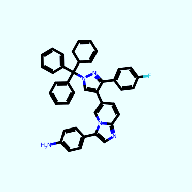 Nc1ccc(-c2cnc3ccc(-c4cn(C(c5ccccc5)(c5ccccc5)C5C=CC=CC5)nc4-c4ccc(F)cc4)cn23)cc1